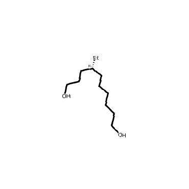 CC[C@@H](CCCO)CCCCCCO